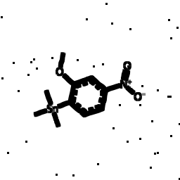 COc1cc([N+](=O)[O-])cc[c]1[Sn]([CH3])([CH3])[CH3]